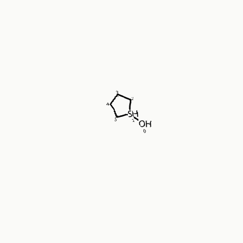 O[SH]1C[CH]CC1